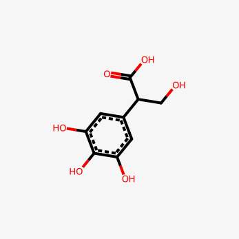 O=C(O)C(CO)c1cc(O)c(O)c(O)c1